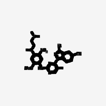 CCc1nn(-c2nc(Nc3cc([N+](=O)[O-])c(N(C)CCN(C)C)cc3OC)ncc2C)c2ccc(C#N)cc12